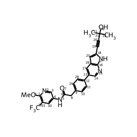 COc1ncc(NC(=O)Cc2ccc(-c3cnc4[nH]c(C#CC(C)(C)O)cc4c3)cc2)cc1C(F)(F)F